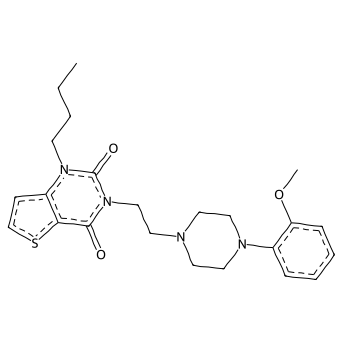 CCCCn1c(=O)n(CCN2CCN(c3ccccc3OC)CC2)c(=O)c2sccc21